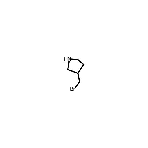 BrCC1CCNC1